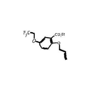 C=CCOc1ccc(OCC(F)(F)F)cc1C(=O)OCC